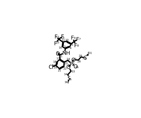 O=C(Nc1cc(C(F)(F)F)cc(C(F)(F)F)c1)c1cc(Cl)ccc1CP(=O)(OCCSI)OCCSI